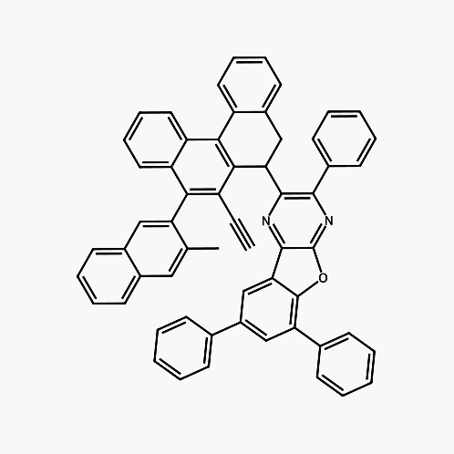 C#Cc1c2c(c3ccccc3c1-c1cc3ccccc3cc1C)-c1ccccc1CC2c1nc2c(nc1-c1ccccc1)oc1c(-c3ccccc3)cc(-c3ccccc3)cc12